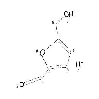 O=Cc1ccc(CO)o1.[H+]